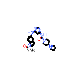 CNC(=O)n1ccc2cc(Nc3cc(NC(=O)N4CCC(N5CCCC5)CC4)ncn3)ccc21